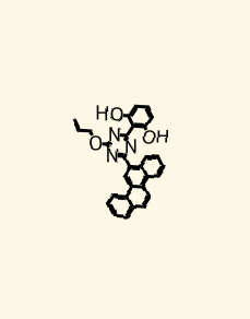 CCCOc1nc(-c2c(O)cccc2O)nc(-c2cc3c4ccccc4ccc3c3ccccc23)n1